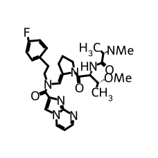 CN[C@@H](C)C(=O)N[C@H](C(=O)N1CCC/C1=C\N(CCc1ccc(F)cc1)C(=O)c1cn2cccnc2n1)[C@@H](C)OC